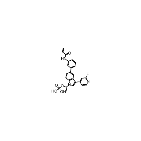 C=CC(=O)Nc1cccc(-c2cnc3c(c2)c(-c2ccnc(F)c2)cn3C(C)OP(=O)(O)O)c1